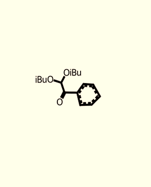 CC(C)COC(OCC(C)C)C(=O)c1ccccc1